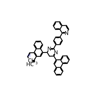 C#Cc1cc(C2CC(c3cc4ccccc4c4ccccc34)=NC(c3ccc(-c4nccc5ccccc45)cc3)=N2)c2ccccc2c1/C=C\C